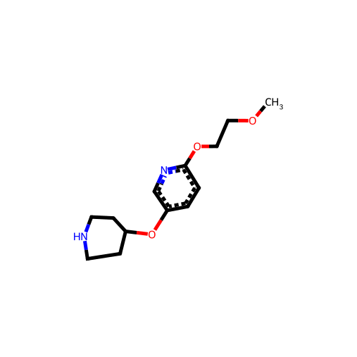 COCCOc1ccc(OC2CCNCC2)cn1